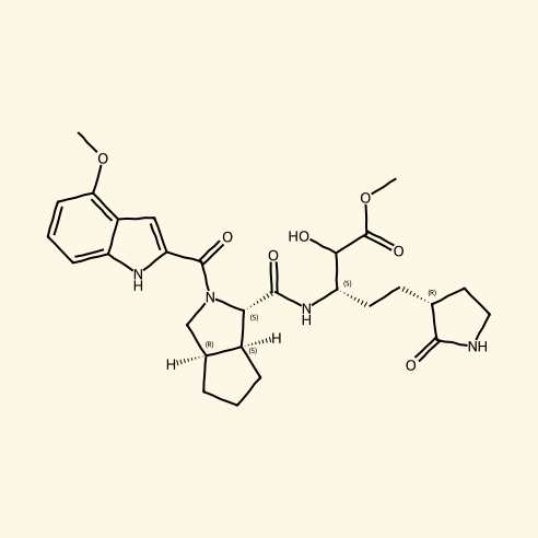 COC(=O)C(O)[C@H](CC[C@@H]1CCNC1=O)NC(=O)[C@@H]1[C@H]2CCC[C@H]2CN1C(=O)c1cc2c(OC)cccc2[nH]1